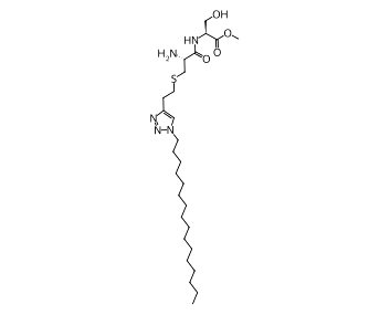 CCCCCCCCCCCCCCCCn1cc(CCSC[C@H](N)C(=O)N[C@@H](CO)C(=O)OC)nn1